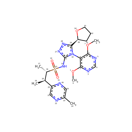 COc1ncnc(OC)c1-n1c(NS(=O)(=O)[C@@H](C)[C@H](C)c2cnc(C)cn2)nnc1[C@@H]1CCCO1